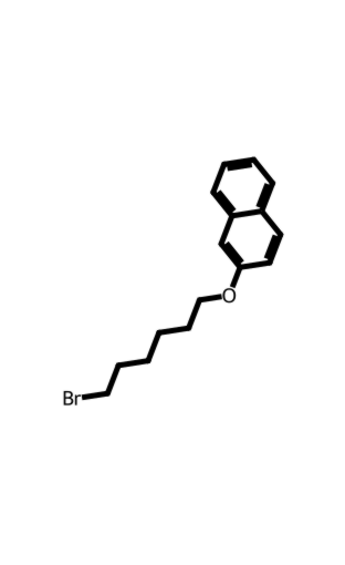 BrCCCCCCOc1ccc2ccccc2c1